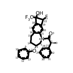 C[C@H](C(=O)N1C[C@H](Oc2ccccc2)CCc2cc3c(cc21)C(F)C3(O)C(F)(F)F)c1ccccc1